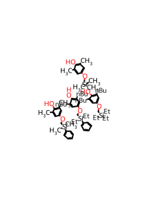 CCCCc1cc(OC[Si](CC)(CC)CC)cc(CCCC)c1O.CCCCc1cc(OC[Si](CC)(CC)c2ccccc2)cc(CCCC)c1O.Cc1cc(OC[Si](C)(C)C)cc(C)c1O.Cc1cc(OC[Si](C)(C)c2ccccc2)cc(C)c1O